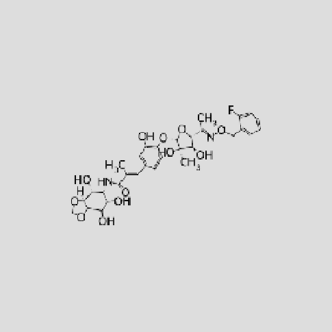 C/C(=C\c1ccc(O[C@@H]2O[C@H](/C(C)=N/OCc3ccccc3F)[C@@H](O)[C@@]2(C)O)c(O)c1)C(=O)N[C@@H]1C(O)C(O)C2OCO[C@H]2[C@@H]1O